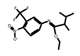 CCOC(=Nc1ccc([N+](=O)[O-])c(C(F)(F)F)c1)C(C)C(C)C